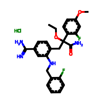 CCOC(Cc1ccc(C(=N)N)cc1NCc1ccccc1F)(C(N)=O)c1ccc(OC)cc1F.Cl